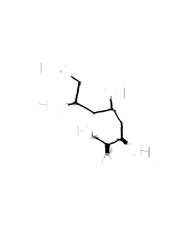 C=C(CC(C)CC(C)CC)C(=O)O